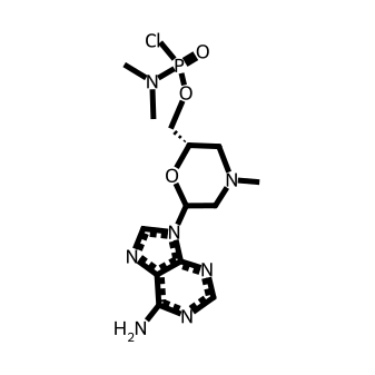 CN1CC(n2cnc3c(N)ncnc32)O[C@H](COP(=O)(Cl)N(C)C)C1